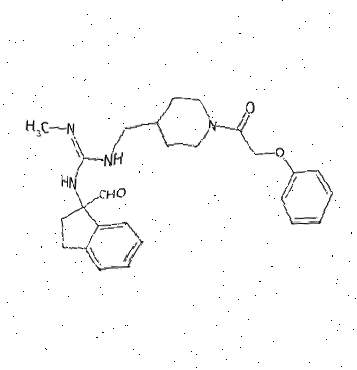 C/N=C(/NCC1CCN(C(=O)COc2ccccc2)CC1)NC1(C=O)CCc2ccccc21